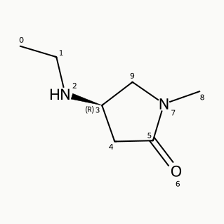 CCN[C@@H]1CC(=O)N(C)C1